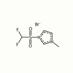 Cn1cc[n+](S(=O)(=O)C(F)F)c1.[Br-]